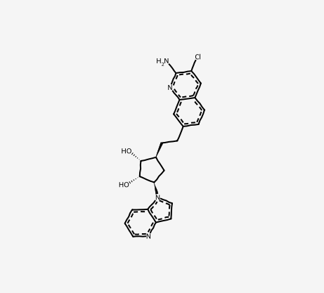 Nc1nc2cc(CC[C@H]3C[C@@H](n4ccc5ncccc54)[C@H](O)[C@@H]3O)ccc2cc1Cl